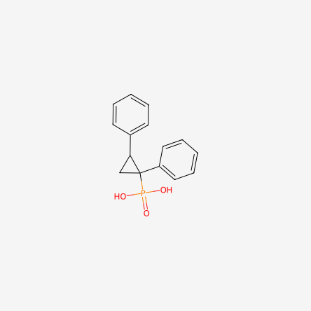 O=P(O)(O)C1(c2ccccc2)CC1c1ccccc1